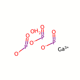 O.O=P[O-].O=P[O-].O=P[O-].[Ga+3]